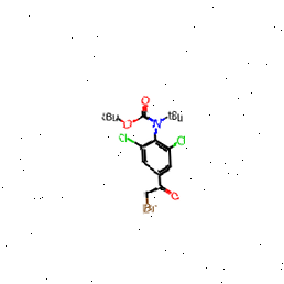 CC(C)(C)OC(=O)N(c1c(Cl)cc(C(=O)CBr)cc1Cl)C(C)(C)C